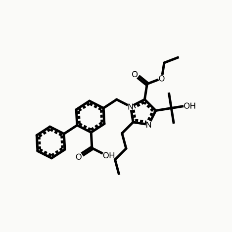 CCCCc1nc(C(C)(C)O)c(C(=O)OCC)n1Cc1ccc(-c2ccccc2)c(C(=O)O)c1